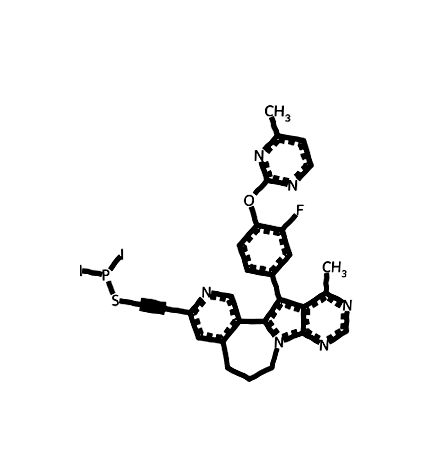 Cc1ccnc(Oc2ccc(-c3c4n(c5ncnc(C)c35)CCCc3cc(C#CSP(I)I)ncc3-4)cc2F)n1